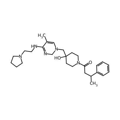 CC1=CN(CC2(O)CCN(C(=O)CC(C)c3ccccc3)CC2)CN=C1NCCN1CCCC1